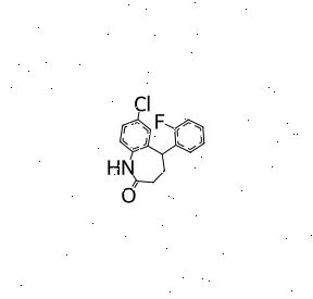 O=C1CCC(c2ccccc2F)c2cc(Cl)ccc2N1